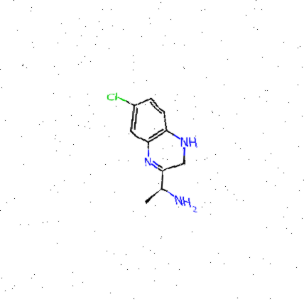 C[C@H](N)C1=Nc2cc(Cl)ccc2NC1